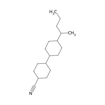 CCCC(C)C1CCC(C2CCC(C#N)CC2)CC1